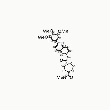 CNC(=O)C1CCCN(C(=O)Cc2ccc3cc(-c4cc(OC)c(OC)c(OC)c4)ccc3c2)CC1